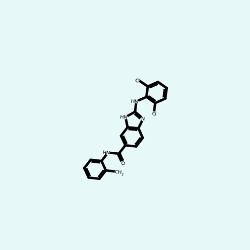 Cc1ccccc1NC(=O)c1ccc2nc(Nc3c(Cl)cccc3Cl)[nH]c2c1